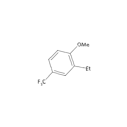 CCc1cc(C(F)(F)F)ccc1OC